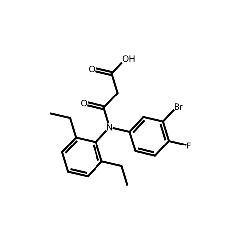 CCc1cccc(CC)c1N(C(=O)CC(=O)O)c1ccc(F)c(Br)c1